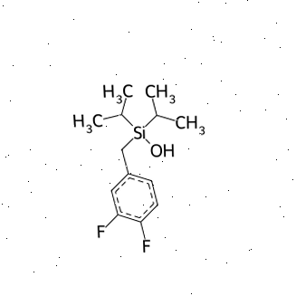 CC(C)[Si](O)(Cc1ccc(F)c(F)c1)C(C)C